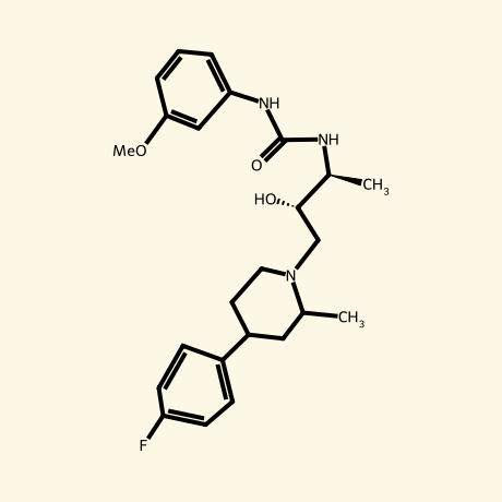 COc1cccc(NC(=O)N[C@@H](C)[C@@H](O)CN2CCC(c3ccc(F)cc3)CC2C)c1